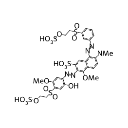 CNc1ccc2c(OC)c(/N=N/c3cc(OC)c(S(=O)(=O)CCOS(=O)(=O)O)cc3O)c(S(=O)(=O)O)cc2c1/N=N/c1cccc(S(=O)(=O)CCOS(=O)(=O)O)c1